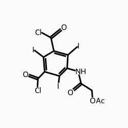 CC(=O)OCC(=O)Nc1c(I)c(C(=O)Cl)c(I)c(C(=O)Cl)c1I